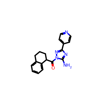 Nc1nc(-c2ccncc2)nn1C(=O)C1CCCc2ccccc21